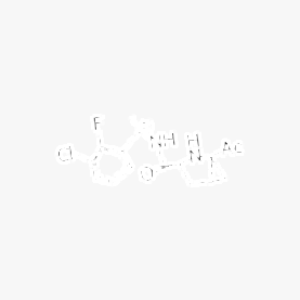 CC(=O)C12CC1CC(C(=O)N[C@@H](C)c1cccc(Cl)c1F)N2